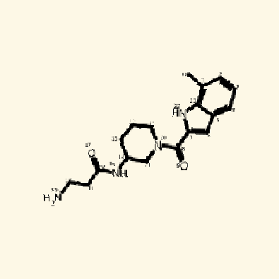 Cc1cccc2cc(C(=O)N3CCCC(NC(=O)CCN)C3)[nH]c12